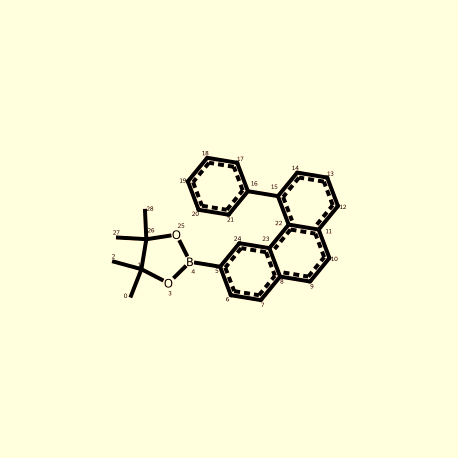 CC1(C)OB(c2ccc3ccc4cccc(-c5ccccc5)c4c3c2)OC1(C)C